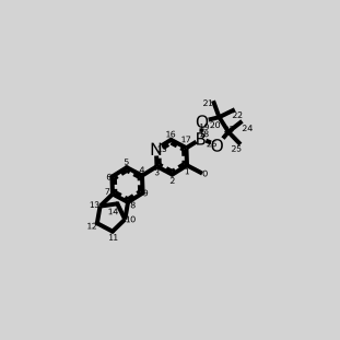 Cc1cc(-c2ccc3c(c2)C2CCC3C2)ncc1B1OC(C)(C)C(C)(C)O1